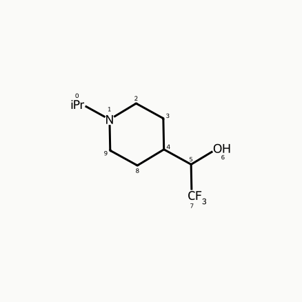 CC(C)N1CCC(C(O)C(F)(F)F)CC1